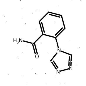 NC(=O)c1ccccc1-n1cnnc1